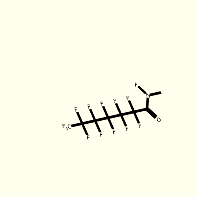 CN(F)C(=O)C(F)(F)C(F)(F)C(F)(F)C(F)(F)C(F)(F)C(F)(F)F